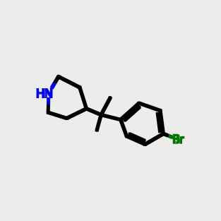 CC(C)(c1ccc(Br)cc1)C1CCNCC1